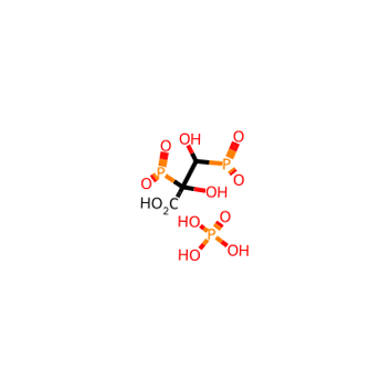 O=C(O)C(O)(C(O)P(=O)=O)P(=O)=O.O=P(O)(O)O